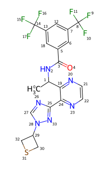 CC(NC(=O)c1cc(C(F)(F)F)cc(C(F)(F)F)c1)c1nccnc1-c1ncn(C2CSC2)n1